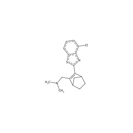 CN(C)CC1=C(c2nc3c(Cl)cccc3s2)C2CCC1C2